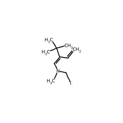 C=C/C(=C\N(C)CI)C(C)(C)C